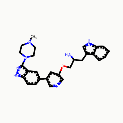 CN1CCN(c2n[nH]c3ccc(-c4cncc(OCC(N)Cc5c[nH]c6ccccc56)c4)cc23)CC1